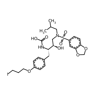 CC(C)CN(C[C@@H](O)[C@H](Cc1ccc(OCCCI)cc1)NC(=O)O)S(=O)(=O)c1ccc2c(c1)OCO2